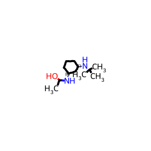 CC(O)N[C@@H]1CCC[C@H](NC(C)(C)C)C1